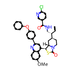 C=C[C@@H](CNC(=O)c1ccc(Cl)nc1)[C@H]1CCN2C(=O)S[C@@H](c3cc(-c4ccc(Oc5ccccc5)cc4)nc4ccc(OC)cc34)[C@@H]2C1